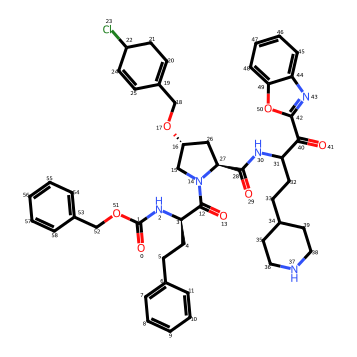 O=C(N[C@H](CCc1ccccc1)C(=O)N1C[C@H](OCC2=CCC(Cl)C=C2)C[C@H]1C(=O)NC(CCC1CCNCC1)C(=O)c1nc2ccccc2o1)OCc1ccccc1